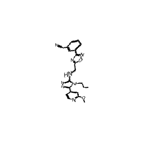 CCCn1c(NCc2nc(-c3cccc(C#N)c3)no2)nnc1-c1ccnc(OC)c1